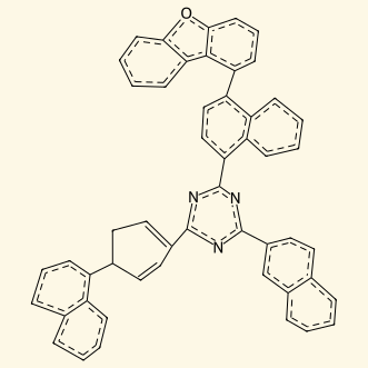 C1=CC(c2cccc3ccccc23)CC=C1c1nc(-c2ccc3ccccc3c2)nc(-c2ccc(-c3cccc4oc5ccccc5c34)c3ccccc23)n1